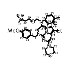 CCc1cnn2c(N(Cc3ccc(OC)cc3)Cc3nc4c(F)c(F)ccc4n3COCC[Si](C)(C)C)nc(N3CCOCC3)nc12